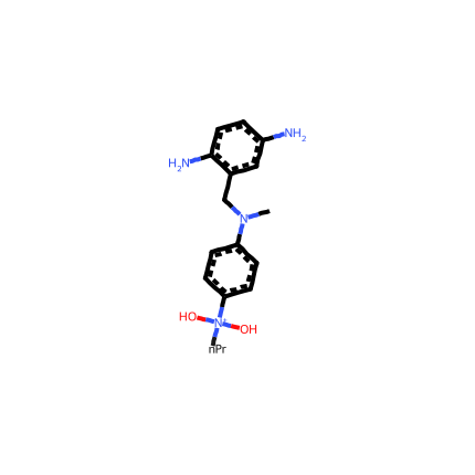 CCC[N+](O)(O)c1ccc(N(C)Cc2cc(N)ccc2N)cc1